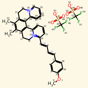 COc1ccc(/C=C/C=C/c2cccc3[n+]2CCc2c(C)c(C)c4c(c2-3)-c2c3ccccc3cc[n+]2CC4)cc1.O=S(=O)([O-])C(F)(F)F.O=S(=O)([O-])C(F)(F)F